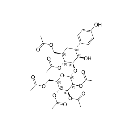 CC(=O)OC[C@H]1C[C@H](c2ccc(O)cc2)[C@@H](O)[C@@H](O[C@H]2O[C@H](COC(C)=O)[C@@H](OC(C)=O)[C@H](OC(C)=O)[C@@H]2OC(C)=O)[C@@H]1OC(C)=O